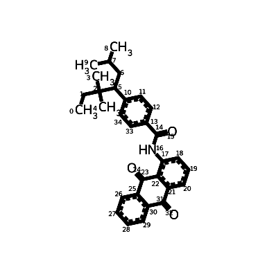 CCC(C)(C)C(CC(C)C)c1ccc(C(=O)Nc2cccc3c2C(=O)c2ccccc2C3=O)cc1